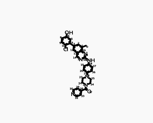 Cc1cc(-c2cc(O)ccc2Cl)cc2cnc(Nc3ccc(N4CCN(C(=O)c5ccncc5)CC4)cc3)nc12